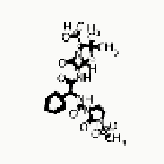 CC(=O)[C@@H]1N2C(=O)[C@@H](NC(=O)C(NC(=O)N3CCN(S(C)(=O)=O)C3=O)c3ccccc3)[C@H]2SC1(C)C